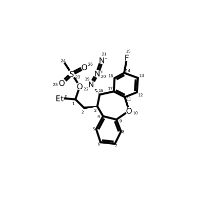 CCC(C[C@@H]1c2ccccc2Oc2ccc(F)cc2[C@H]1N=[N+]=[N-])OS(C)(=O)=O